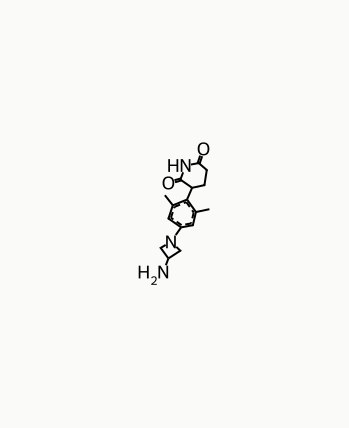 Cc1cc(N2CC(N)C2)cc(C)c1C1CCC(=O)NC1=O